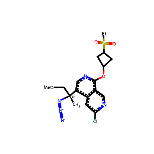 CCS(=O)(=O)C1CC(Oc2ncc([C@@](C)(COC)N=[N+]=[N-])c3cc(Cl)ncc23)C1